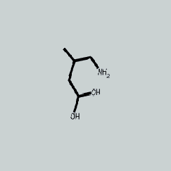 CC(CN)CC(O)O